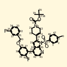 Cc1ccc(S(=O)(=O)n2c(C3=CCN(C(=O)OC(C)(C)C)CC3)cc3c(-c4cc(OCc5cccc(F)c5)ccc4F)ccnc32)cc1